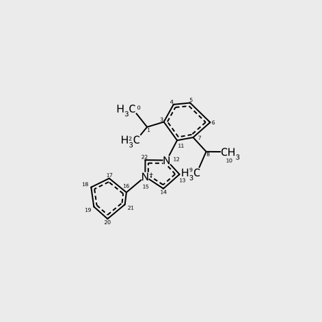 CC(C)c1cccc(C(C)C)c1-n1cc[n+](-c2ccccc2)c1